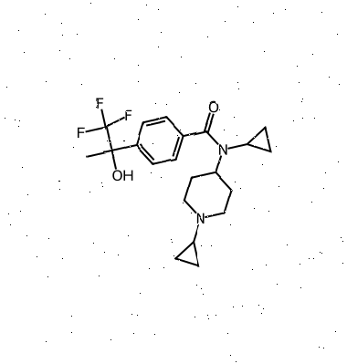 CC(O)(c1ccc(C(=O)N(C2CC2)C2CCN(C3CC3)CC2)cc1)C(F)(F)F